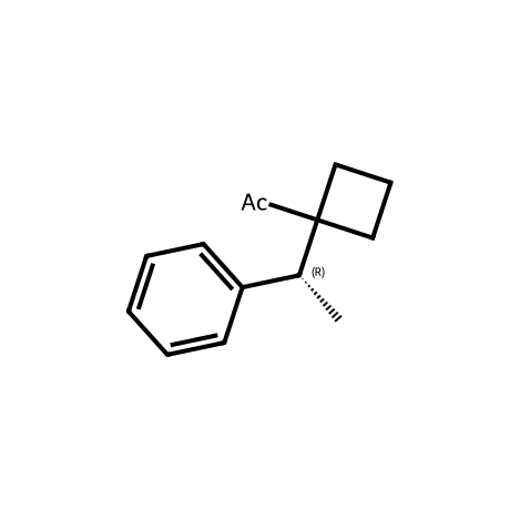 CC(=O)C1([C@H](C)c2ccccc2)CCC1